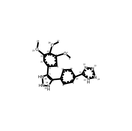 COc1cc(C2=C(c3ccc(-c4nnn[nH]4)cc3)NNN2)cc(OC)c1OC